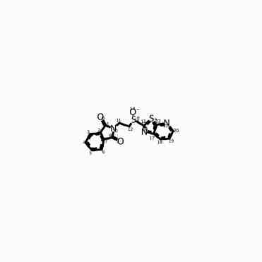 O=C1c2ccccc2C(=O)N1CC[S+]([O-])c1nc2cccnc2s1